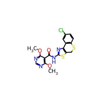 COc1ncnc(OC)c1C(=O)Nc1nc2c(s1)CSc1ccc(Cl)cc1-2